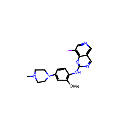 COc1cc(N2CCN(C)CC2)ccc1Nc1ncc2cncc(I)c2n1